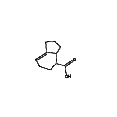 O=C(O)C1CCC=C2CCCC21